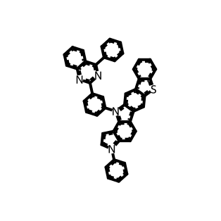 c1ccc(-c2nc(-c3cccc(-n4c5cc6c(cc5c5ccc7c(ccn7-c7ccccc7)c54)sc4ccccc46)c3)nc3ccccc23)cc1